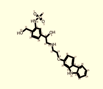 CS(=O)(=O)Nc1cc(C(O)CNCCOc2ccc3c(c2)[nH]c2ccccc23)ccc1CO